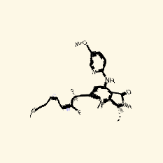 COc1ccc(Nc2cc([C@@H](C)/C(F)=C\C=C/CF)nc3c2C(=O)N[C@@H]3C)nc1